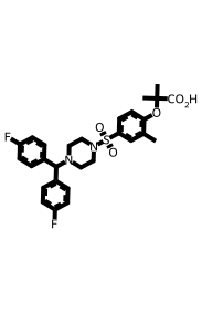 Cc1cc(S(=O)(=O)N2CCN(C(c3ccc(F)cc3)c3ccc(F)cc3)CC2)ccc1OC(C)(C)C(=O)O